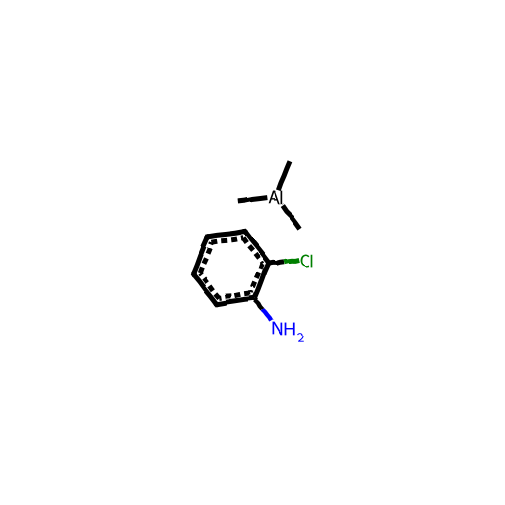 Nc1ccccc1Cl.[CH3][Al]([CH3])[CH3]